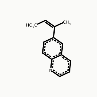 C/C(=C/C(=O)O)c1ccc2ncccc2c1